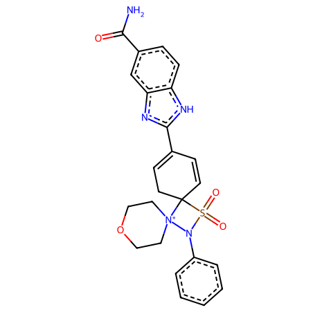 NC(=O)c1ccc2[nH]c(C3=CCC4(C=C3)[N+]3(CCOCC3)N(c3ccccc3)S4(=O)=O)nc2c1